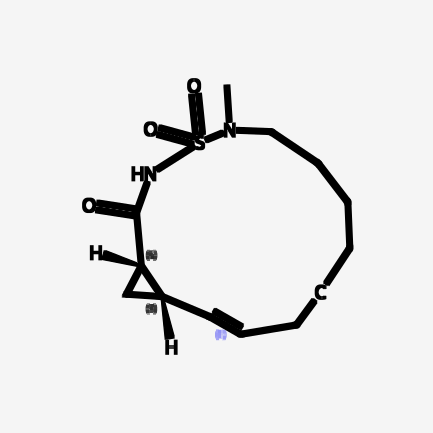 CN1CCCCCC/C=C/[C@@H]2C[C@@H]2C(=O)NS1(=O)=O